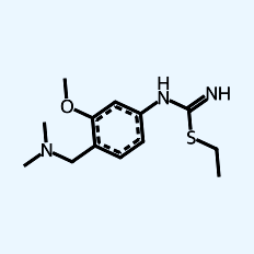 CCSC(=N)Nc1ccc(CN(C)C)c(OC)c1